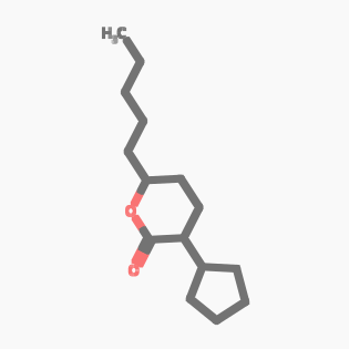 CCCCCC1CCC(C2CCCC2)C(=O)O1